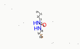 CCCCNC(=O)NCC=S